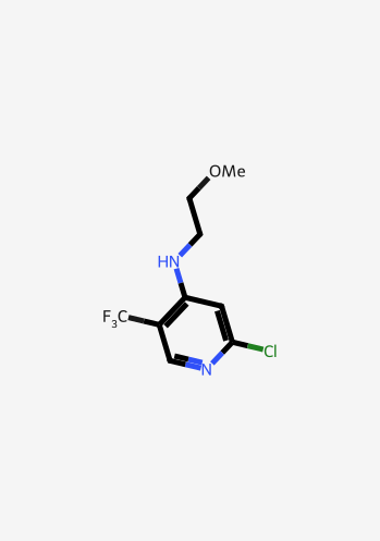 COCCNc1cc(Cl)ncc1C(F)(F)F